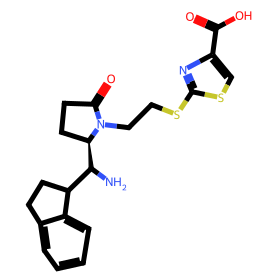 NC(C1CCc2ccccc21)[C@H]1CCC(=O)N1CCSc1nc(C(=O)O)cs1